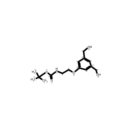 CC(C)(C)OC(=O)NCCOc1cc(CO)cc(CO)c1